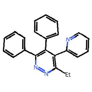 CCc1nnc(-c2ccccc2)c(-c2ccccc2)c1-c1ccccn1